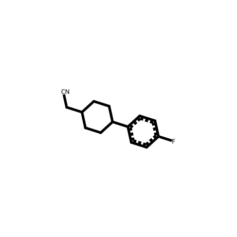 N#CCC1CCC(c2ccc(F)cc2)CC1